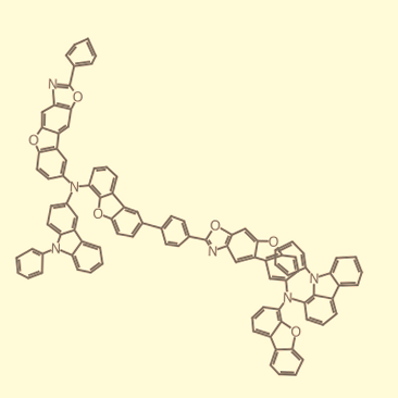 c1ccc(-c2nc3cc4oc5ccc(N(c6ccc7c(c6)c6ccccc6n7-c6ccccc6)c6cccc7c6oc6ccc(-c8ccc(-c9nc%10cc%11c(cc%10o9)oc9ccc(N(c%10cccc%12c%10oc%10ccccc%10%12)c%10cccc%12c%13ccccc%13n(-c%13ccccc%13)c%10%12)cc9%11)cc8)cc67)cc5c4cc3o2)cc1